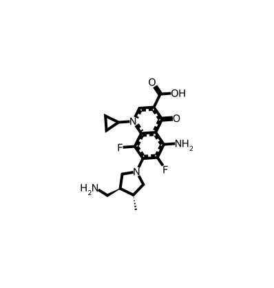 C[C@H]1CN(c2c(F)c(N)c3c(=O)c(C(=O)O)cn(C4CC4)c3c2F)C[C@@H]1CN